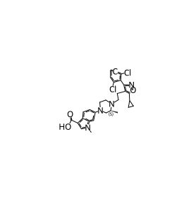 C[C@H]1CN(c2ccc3c(C(=O)O)cn(C)c3c2)CCN1CCc1c(-c2c(Cl)cccc2Cl)noc1C1CC1